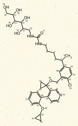 CC(CCCCNC(=O)NCC(O)C(O)C(O)C(O)CO)c1ccc(Cl)c(COC2(c3cnccc3-c3ccccc3OC3CC3)CC2)c1